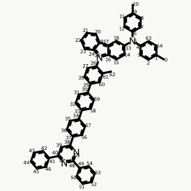 Cc1ccc(N(c2ccc(C)cc2)c2ccc3c(c2)c2ccccc2n3-c2ccc(-c3ccc(-c4ccc(-c5cc(-c6ccccc6)nc(-c6ccccc6)n5)cc4)cc3)cc2C)cc1